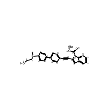 CN(CCO)c1ccc(-c2ccc(C#Cc3cc4cccnc4n3C(=O)OC(C)(C)C)cc2)cc1